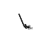 CCCCCCCCCCCCCCC1Cc2ccc(C(=O)O)cc2N1C